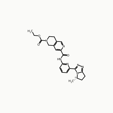 CCOC(=O)N1CCc2cnc(C(=O)Nc3cccc(-c4nnc5n4[C@@H](C)CC5)n3)cc2C1